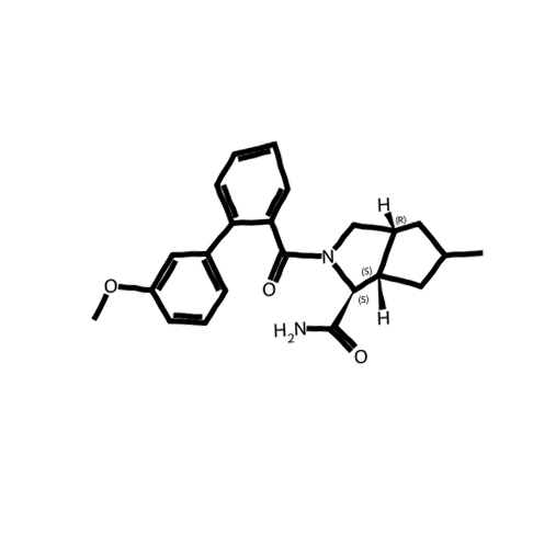 COc1cccc(-c2ccccc2C(=O)N2C[C@@H]3CC(C)C[C@@H]3[C@H]2C(N)=O)c1